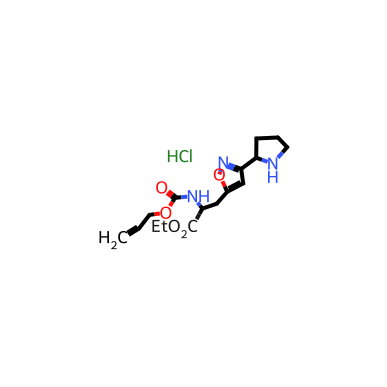 C=CCOC(=O)NC(Cc1cc(C2CCCN2)no1)C(=O)OCC.Cl